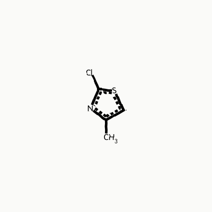 Cc1[c]sc(Cl)n1